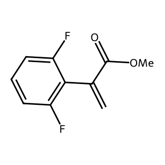 C=C(C(=O)OC)c1c(F)cccc1F